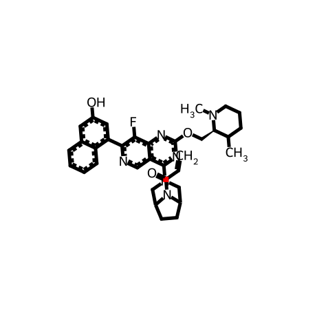 C=CC(=O)N1C2CCC1CN(c1nc(OC[C@@H]3C(C)CCCN3C)nc3c(F)c(-c4cc(O)cc5ccccc45)ncc13)C2